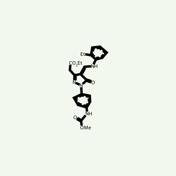 CCOC(=O)CC1=NN(c2ccc(NC(=O)OC)cc2)C(=O)C1=CNc1ccccc1CC